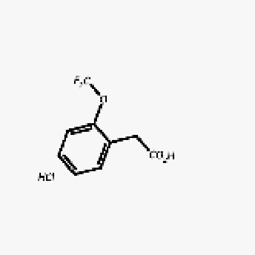 Cl.O=C(O)Cc1ccccc1OC(F)(F)F